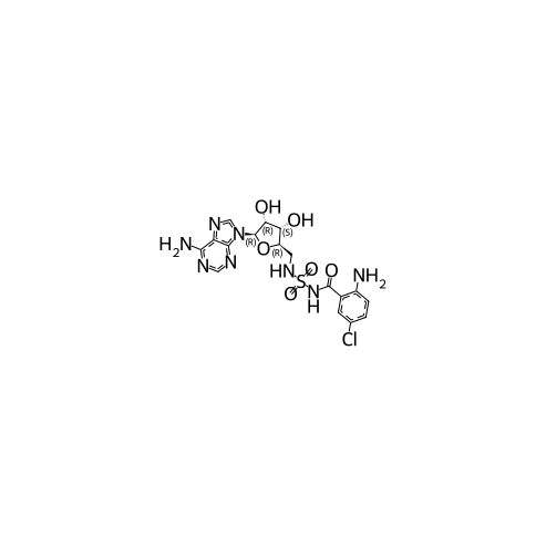 Nc1ccc(Cl)cc1C(=O)NS(=O)(=O)NC[C@H]1O[C@@H](n2cnc3c(N)ncnc32)[C@H](O)[C@@H]1O